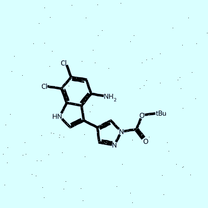 CC(C)(C)OC(=O)n1cc(-c2c[nH]c3c(Cl)c(Cl)cc(N)c23)cn1